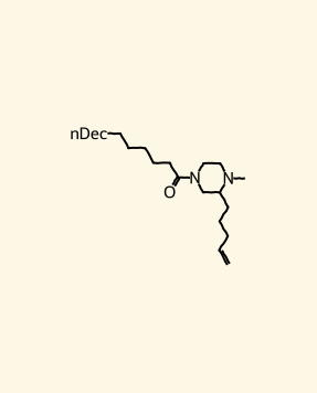 C=CCCCC1CN(C(=O)CCCCCCCCCCCCCCC)CCN1C